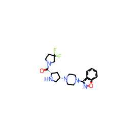 O=C([C@@H]1C[C@H](N2CCN(c3noc4ccccc34)CC2)CN1)N1CCC(F)(F)C1